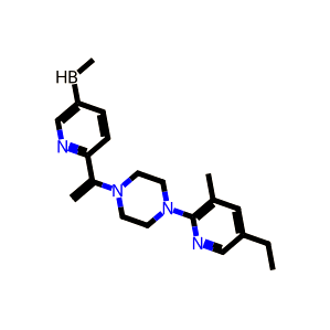 C=C(c1ccc(BC)cn1)N1CCN(c2ncc(CC)cc2C)CC1